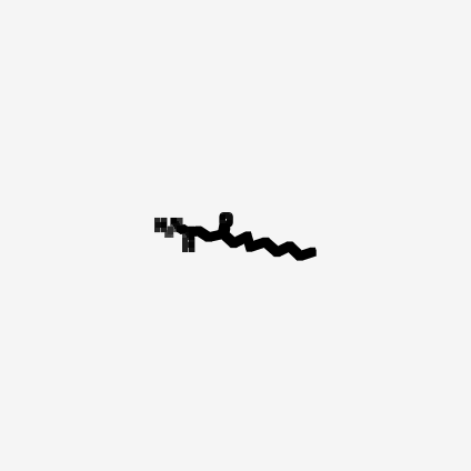 CCCCCCCCC(=O)CCNN